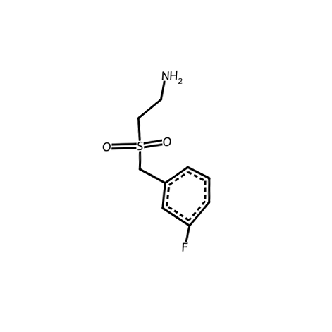 NCCS(=O)(=O)Cc1cccc(F)c1